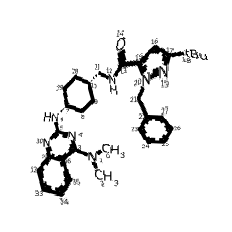 CN(C)c1nc(N[C@H]2CC[C@@H](CNC(=O)c3cc(C(C)(C)C)nn3Cc3ccccc3)CC2)nc2ccccc12